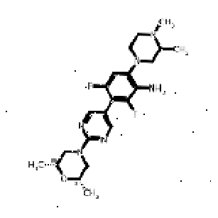 CC1CN(c2cc(F)c(-c3cnc(N4C[C@@H](C)O[C@@H](C)C4)nc3)c(F)c2N)CCN1C